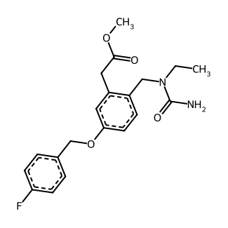 CCN(Cc1ccc(OCc2ccc(F)cc2)cc1CC(=O)OC)C(N)=O